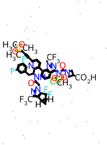 CC(C)(C#Cc1ccc(-c2ccc(Cl)c3c(N(C(=O)N4CC(C(=O)O)C4)S(C)(=O)=O)nn(CC(F)(F)F)c23)c(C(Cc2cc(F)cc(F)c2)NC(=O)Cn2nc(C(F)(F)F)c3c2C(F)(F)[C@@H]2C[C@H]32)n1)S(C)(=O)=O